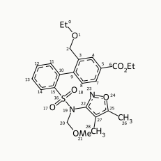 CCOCc1cc(C(=O)OCC)ccc1-c1ccccc1S(=O)(=O)N(COC)c1noc(C)c1C